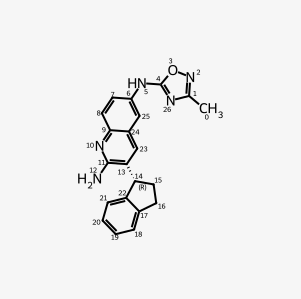 Cc1noc(Nc2ccc3nc(N)c([C@@H]4CCc5ccccc54)cc3c2)n1